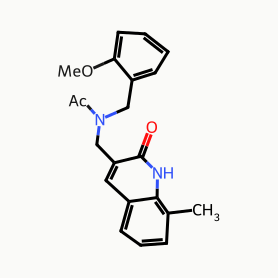 COc1ccccc1CN(Cc1cc2cccc(C)c2[nH]c1=O)C(C)=O